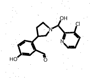 O=Cc1cc(O)ccc1C1CCN(C(O)c2ncccc2Cl)C1